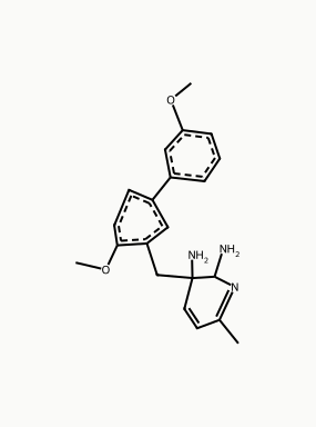 COc1cccc(-c2ccc(OC)c(CC3(N)C=CC(C)=NC3N)c2)c1